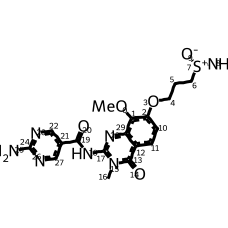 COc1c(OCCC[S+](N)[O-])ccc2c(=O)n(C)c(NC(=O)c3cnc(N)nc3)nc12